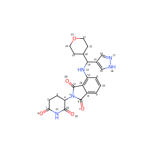 O=C1CCC(N2C(=O)c3cccc(NC(c4cn[nH]c4)C4CCOCC4)c3C2=O)C(=O)N1